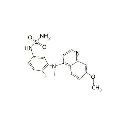 COc1ccc2c(N3CCc4ccc(NS(N)(=O)=O)cc43)ccnc2c1